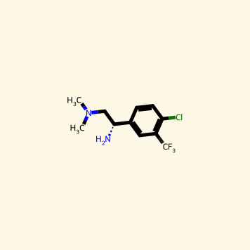 CN(C)C[C@@H](N)c1ccc(Cl)c(C(F)(F)F)c1